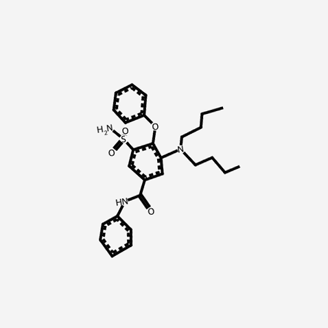 CCCCN(CCCC)c1cc(C(=O)Nc2ccccc2)cc(S(N)(=O)=O)c1Oc1ccccc1